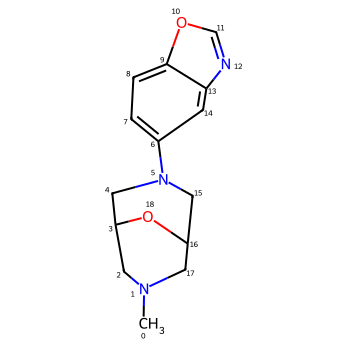 CN1CC2CN(c3ccc4ocnc4c3)CC(C1)O2